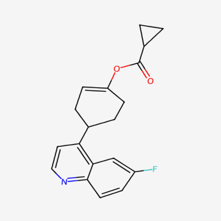 O=C(OC1=CCC(c2ccnc3ccc(F)cc23)CC1)C1CC1